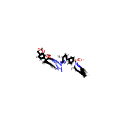 C[C@H]1CCCN1[S+]([O-])c1ccc(-c2cccc(NC(=O)C3(c4ccc5c(c4)OCOC5)CC3)n2)cc1